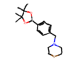 CC1(C)OB(c2ccc(CN3CCSCC3)cc2)OC1(C)C